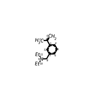 C=C(C)c1cccc(CN(CC)CC)c1